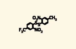 Cc1ccc(SSc2ccc(C(F)(F)F)cc2[N+](=O)[O-])c([N+](=O)[O-])c1